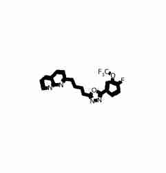 Fc1ccc(-c2nnc(CCCCc3ccc4cccnc4n3)o2)cc1OC(F)(F)F